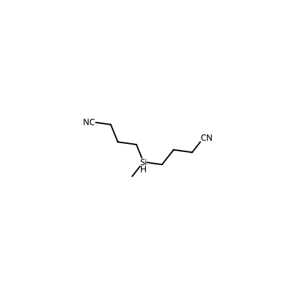 C[SiH](CCCC#N)CCCC#N